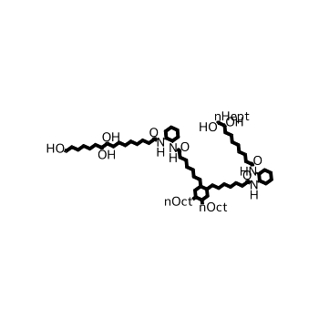 CCCCCCCCC1CC(CCCCCCC(=O)N[C@H]2CCCC[C@H]2NC(=O)CCCCCCCC(O)C(O)CCCCCCO)C(CCCCCCC(=O)N[C@@H]2CCCC[C@@H]2NC(=O)CCCCCCCC(O)C(O)CCCCCCC)CC1CCCCCCCC